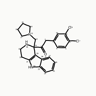 O=C(Cc1ccc(Cl)c(Cl)c1)C1(CN2CCCC2)NCCc2[nH]c3ccccc3c21